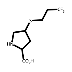 O=C(O)C1CC(SCCC(F)(F)F)CN1